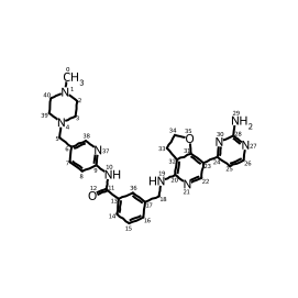 CN1CCN(Cc2ccc(NC(=O)c3cccc(CNc4ncc(-c5ccnc(N)n5)c5c4CCO5)c3)nc2)CC1